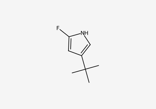 CC(C)(C)c1c[nH]c(F)c1